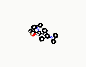 c1ccc([Si](c2ccccc2)(c2ccc(-n3c4ccccc4c4ccccc43)cc2)c2ccc3c(c2)-n2c4ccccc4c4cccc(c42)C32c3ccccc3Sc3ccccc32)cc1